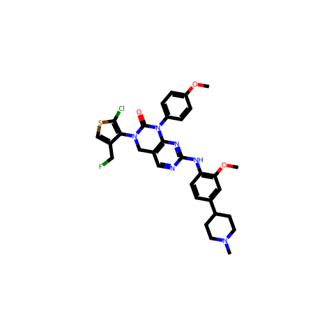 COc1ccc(N2C(=O)N(c3c(CF)csc3Cl)Cc3cnc(Nc4ccc(C5CCN(C)CC5)cc4OC)nc32)cc1